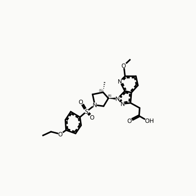 CCOc1ccc(S(=O)(=O)N2C[C@H](C)[C@@H](n3nc(CC(=O)O)c4ccc(OC)nc43)C2)cc1